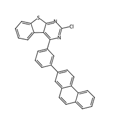 Clc1nc(-c2cccc(-c3ccc4c(ccc5ccccc54)c3)c2)c2c(n1)sc1ccccc12